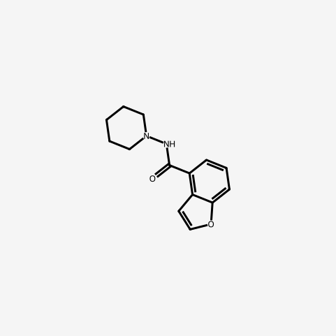 O=C(NN1CCCCC1)c1cccc2occc12